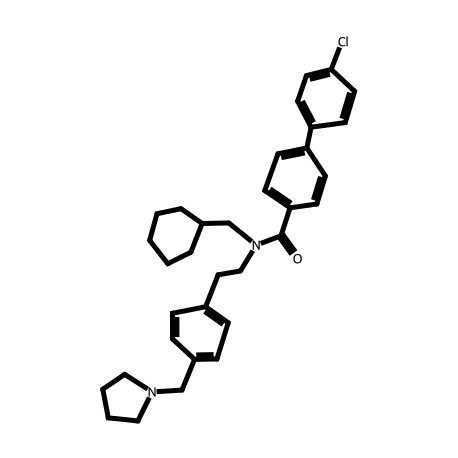 O=C(c1ccc(-c2ccc(Cl)cc2)cc1)N(CCc1ccc(CN2CCCC2)cc1)CC1CCCCC1